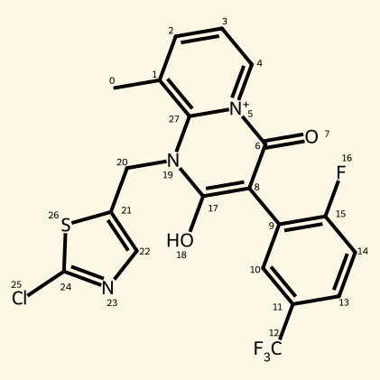 Cc1ccc[n+]2c(=O)c(-c3cc(C(F)(F)F)ccc3F)c(O)n(Cc3cnc(Cl)s3)c12